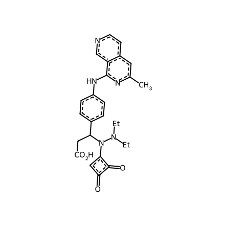 CCN(CC)N(c1cc(=O)c1=O)C(CC(=O)O)c1ccc(Nc2nc(C)cc3ccncc23)cc1